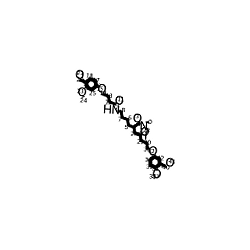 CNC(=O)C(CCCCNC(=O)CCCOc1ccc(C=O)c(OC)c1)CC(=O)CCCOc1ccc(OC)c(C=O)c1